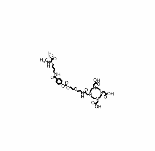 CN[C@@H](CCCCNC(=O)c1ccc(OC(=O)OCCOCCNC(=O)CN2CCN(CC(=O)O)CCN(CC(=O)O)CCN(CC(=O)O)CC2)cc1)C(N)=O